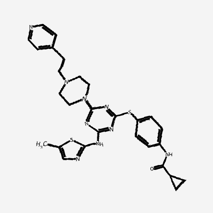 Cc1cnc(Nc2nc(Sc3ccc(NC(=O)C4CC4)cc3)nc(N3CCN(CCc4ccncc4)CC3)n2)s1